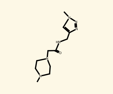 CN1CCN(CC(=O)NCc2cn(C)nn2)CC1